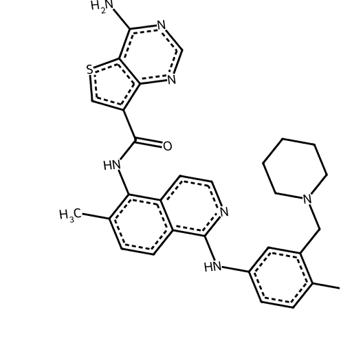 Cc1ccc2c(Nc3ccc(Cl)c(CN4CCCCC4)c3)nccc2c1NC(=O)c1csc2c(N)ncnc12